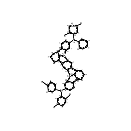 Cc1ccc(N(c2ccc3c4cccc5c6cc7c(cc6n(c3c2)c45)c2cccc3c4ccc(N(c5ccccc5)c5cc(C)ccc5C)cc4n7c32)c2cc(C)ccc2C)cc1